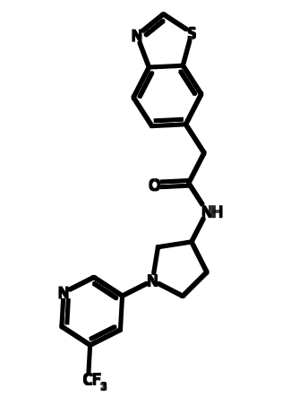 O=C(Cc1ccc2ncsc2c1)NC1CCN(c2cncc(C(F)(F)F)c2)C1